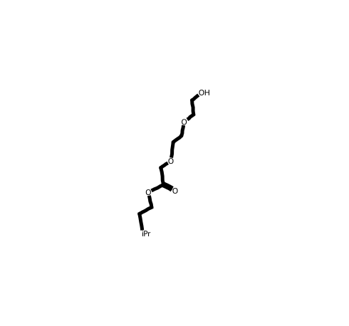 CC(C)CCOC(=O)COCCOCCO